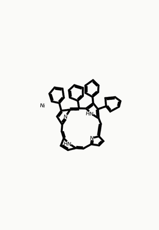 C1=Cc2cc3[nH]c(c(-c4ccccc4)c4nc(cc5ccc(cc1n2)[nH]5)C=C4c1ccccc1)c(-c1ccccc1)c3-c1ccccc1.[Ni]